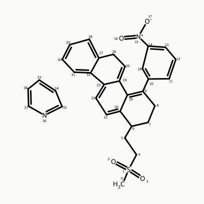 CS(=O)(=O)CCC1CCC(c2cccc([N+](=O)[O-])c2)=c2c1ccc1c2=CCc2ccccc2-1.c1ccncc1